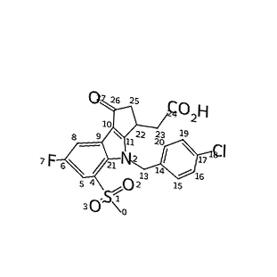 CS(=O)(=O)c1cc(F)cc2c3c(n(Cc4ccc(Cl)cc4)c12)C(CC(=O)O)CC3=O